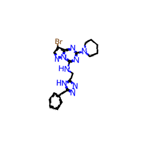 Brc1cnn2c(NCc3nnc(-c4ccccc4)[nH]3)nc(N3CCCCC3)nc12